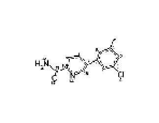 Cc1cc(Cl)cc(-c2ccc(C(N)=O)nc2)c1